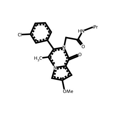 COc1cc2c(=O)n(CC(=O)NC(C)C)c(-c3cccc(Cl)c3)c(C)n2c1